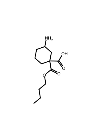 CCCCOC(=O)C1(C(=O)O)CCCC(N)C1